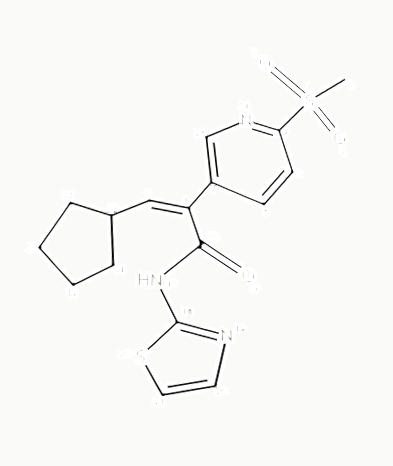 CS(=O)(=O)c1ccc(C(=CC2CCCC2)C(=O)Nc2nccs2)cn1